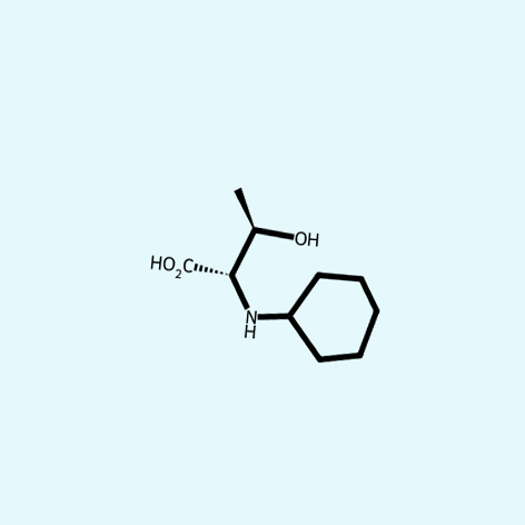 C[C@@H](O)[C@H](NC1CCCCC1)C(=O)O